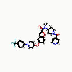 CN(C(=O)c1cc2cc(OC3CCN(c4ccc(C(F)(F)F)cc4)CC3)ccc2o1)C1CCN(C(=O)c2ccncc2)CC1